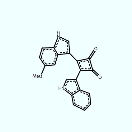 COc1ccc2[nH]cc(-c3c(-c4c[nH]c5ccccc45)c(=O)c3=O)c2c1